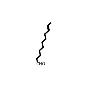 CC=CCCCCCCCC=O